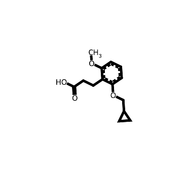 COc1cccc(OCC2CC2)c1CCC(=O)O